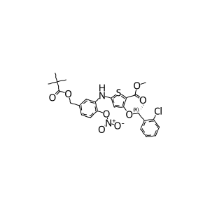 COC(=O)c1sc(Nc2cc(COC(=O)C(C)(C)C)ccc2O[N+](=O)[O-])cc1O[C@H](C)c1ccccc1Cl